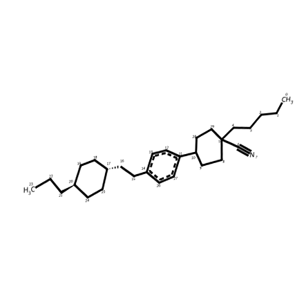 CCCCCC1(C#N)CCC(c2ccc(CC[C@H]3CC[C@H](CCC)CC3)cc2)CC1